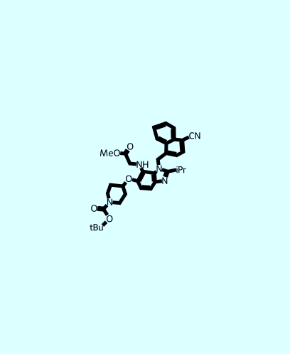 COC(=O)CNc1c(OC2CCN(C(=O)OC(C)(C)C)CC2)ccc2nc(C(C)C)n(Cc3ccc(C#N)c4ccccc34)c12